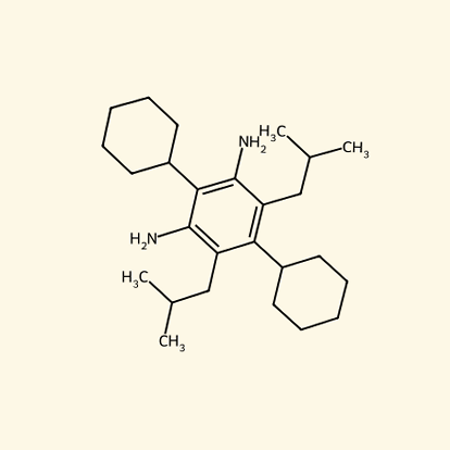 CC(C)Cc1c(N)c(C2CCCCC2)c(N)c(CC(C)C)c1C1CCCCC1